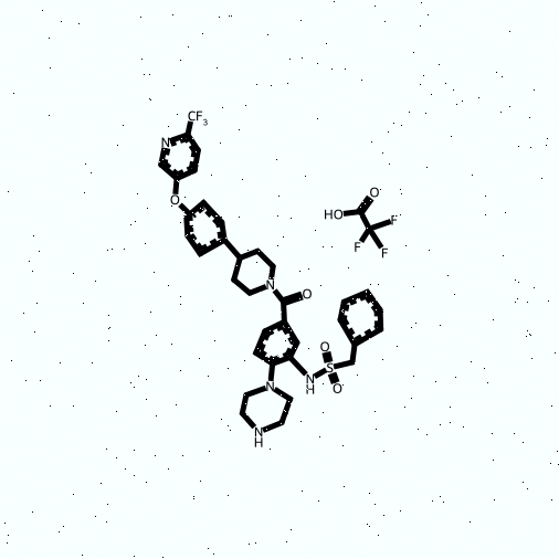 O=C(O)C(F)(F)F.O=C(c1ccc(N2CCNCC2)c(NS(=O)(=O)Cc2ccccc2)c1)N1CCC(c2ccc(Oc3ccc(C(F)(F)F)nc3)cc2)CC1